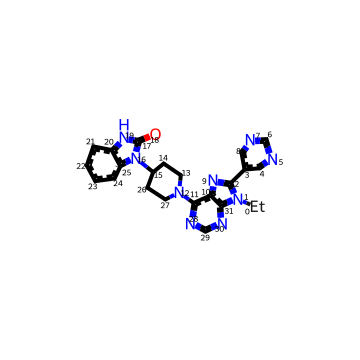 CCn1c(-c2cncnc2)nc2c(N3CCC(n4c(=O)[nH]c5ccccc54)CC3)ncnc21